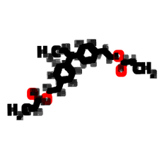 C=CC(=O)OCCc1ccc(C(CC)c2ccc(CCOC(=O)C=C)cc2)cc1